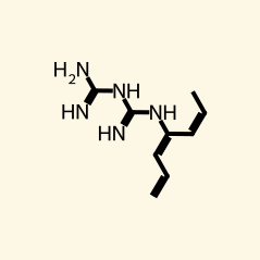 C=C/C=C(\C=C/C)NC(=N)NC(=N)N